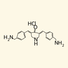 Cl.NCc1ccc(C=C2CNCC(=Cc3ccc(CN)cc3)C2=O)cc1